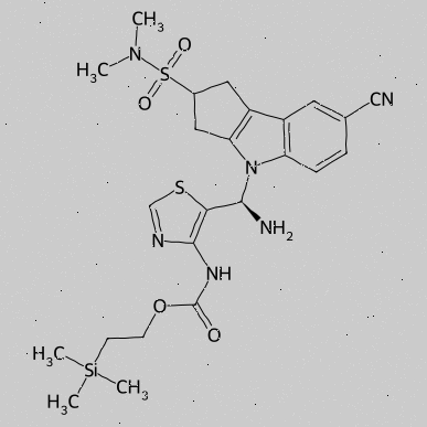 CN(C)S(=O)(=O)C1Cc2c(n([C@@H](N)c3scnc3NC(=O)OCC[Si](C)(C)C)c3ccc(C#N)cc23)C1